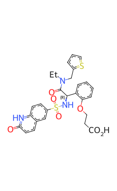 CCN(Cc1cccs1)C(=O)[C@H](NS(=O)(=O)c1ccc2[nH]c(=O)ccc2c1)c1ccccc1OCCC(=O)O